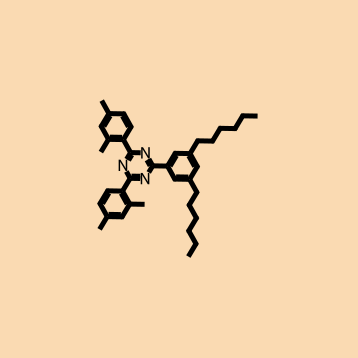 CCCCCCc1cc(CCCCCC)cc(-c2nc(-c3ccc(C)cc3C)nc(-c3ccc(C)cc3C)n2)c1